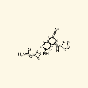 N#Cc1cc2cnc(N[C@H]3C[C@H](OC(N)=O)C3)cc2c(N[C@@H]2CCOC2)n1